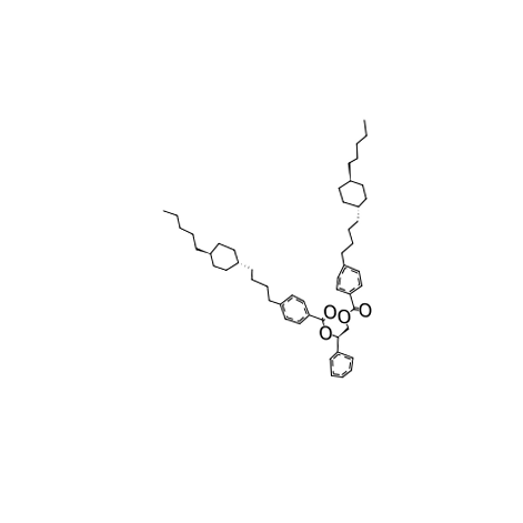 CCCCC[C@H]1CC[C@H](CCCCc2ccc(C(=O)OC[C@H](OC(=O)c3ccc(CCCC[C@H]4CC[C@H](CCCCC)CC4)cc3)c3ccccc3)cc2)CC1